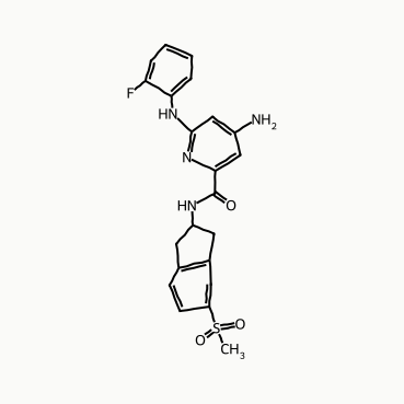 CS(=O)(=O)c1ccc2c(c1)CC(NC(=O)c1cc(N)cc(Nc3ccccc3F)n1)C2